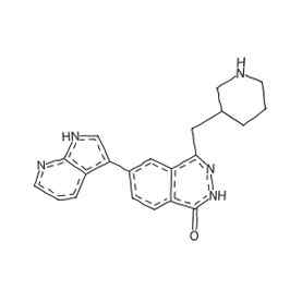 O=c1[nH]nc(CC2CCCNC2)c2cc(-c3c[nH]c4ncccc34)ccc12